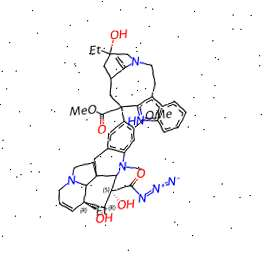 C=C1C2CC(O)(CC)CN1CCc1c([nH]c3ccccc13)C(C(=O)OC)(c1cc3c(cc1OC)N(C)C1C4(CCN5CC=C[C@](CC)(C54)[C@@H](O)[C@]1(O)C(=O)N=[N+]=[N-])C3)C2